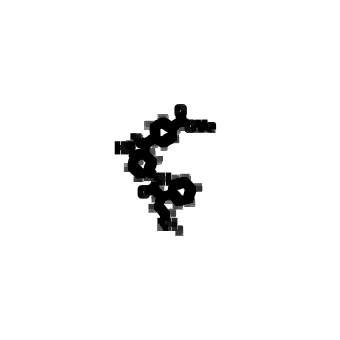 COC(=O)c1ccc(-c2n[nH]c3ccc(NC(=O)C(CCN)c4ccccc4)cc23)cc1